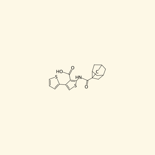 O=C(O)c1c(-c2cccs2)csc1NC(=O)C12CC3CC(CC1C3)C2